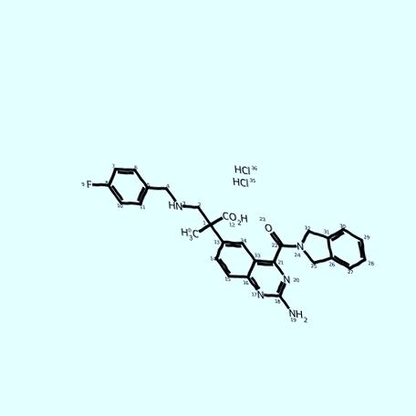 CC(CNCc1ccc(F)cc1)(C(=O)O)c1ccc2nc(N)nc(C(=O)N3Cc4ccccc4C3)c2c1.Cl.Cl